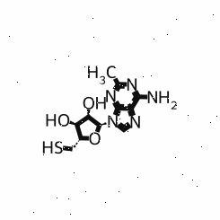 Cc1nc(N)c2ncn([C@@H]3O[C@H](CS)[C@@H](O)[C@H]3O)c2n1